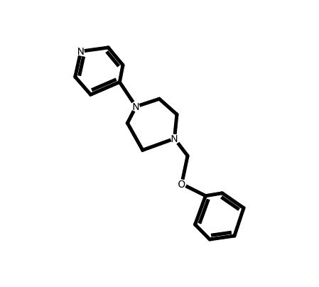 c1ccc(OCN2CCN(c3ccncc3)CC2)cc1